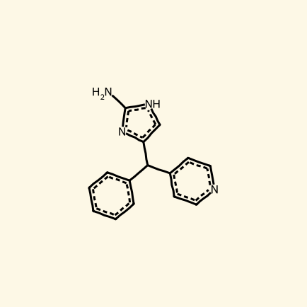 Nc1nc(C(c2ccccc2)c2ccncc2)c[nH]1